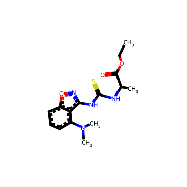 CCOC(=O)C(C)NC(=S)Nc1noc2cccc(N(C)C)c12